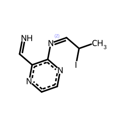 CC(I)/C=N\c1nccnc1C=N